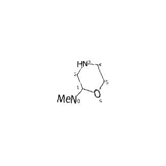 CNC1CNCCO1